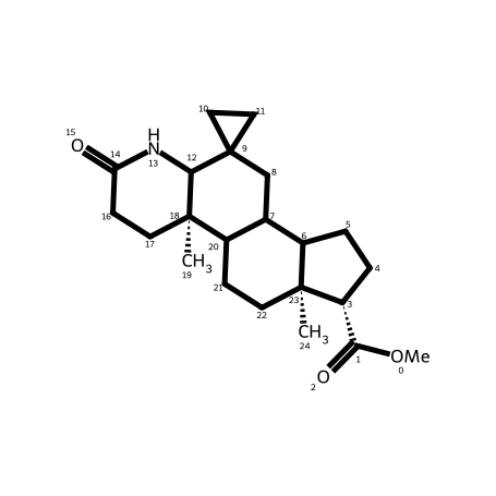 COC(=O)[C@H]1CCC2C3CC4(CC4)C4NC(=O)CC[C@]4(C)C3CC[C@@]21C